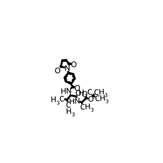 CC(NC(=O)[C@@H](NC(=O)c1ccc(N2C(=O)C=CC2=O)cc1)C(C)C)C(=O)OC(C)(C)C